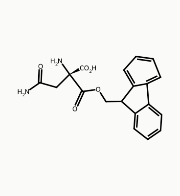 NC(=O)C[C@@](N)(C(=O)O)C(=O)OCC1c2ccccc2-c2ccccc21